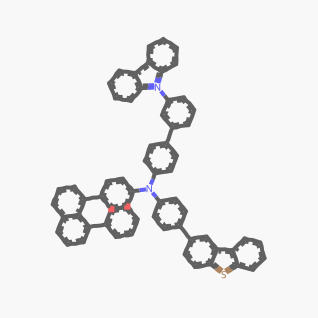 c1ccc(-c2cccc3cccc(-c4ccc(N(c5ccc(-c6cccc(-n7c8ccccc8c8ccccc87)c6)cc5)c5ccc(-c6ccc7sc8ccccc8c7c6)cc5)cc4)c23)cc1